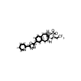 O=S1(=O)N[C@@]2(CN1CC(F)(F)F)[C@@H]1CC[C@H]2Cc2ccc(-c3nnc(-c4ccccn4)o3)cc2C1